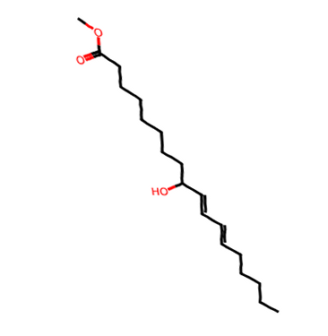 CCCCC/C=C/C=C/C(O)CCCCCCCC(=O)OC